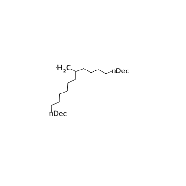 [CH2]C(CCCCCCCCCCCCCC)CCCCCCCCCCCCCCCC